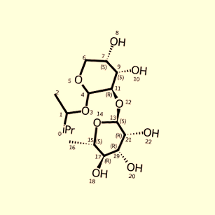 CC(C)C(C)OC1OC[C@H](O)[C@H](O)[C@H]1O[C@@H]1O[C@@H](C)[C@H](O)[C@@H](O)[C@H]1O